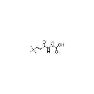 CC(C)(C)C=CC(=O)NNC(=O)O